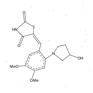 COc1cc(C=C2SC(=O)NC2=O)c(N2CCC(O)C2)cc1OC